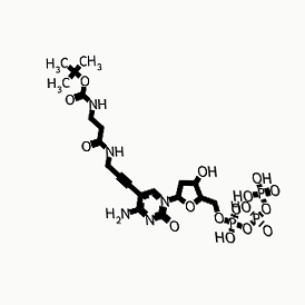 CC(C)(C)OC(=O)NCCC(=O)NCC#Cc1cn(C2CC(O)C(COP(=O)(O)OP(=O)(O)OP(=O)(O)O)O2)c(=O)nc1N